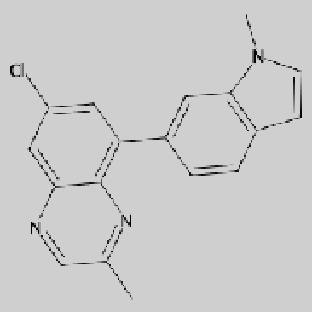 Cc1cnc2cc(Cl)cc(-c3ccc4ccn(C)c4c3)c2n1